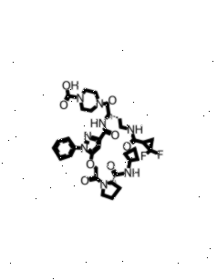 O=C(N[C@@H](CCNC(=O)C1CC1(F)F)C(=O)N1CCN(C(=O)O)CC1)c1cc(OCC(=O)N2CCC[C@H]2C(=O)NC2CCC2)n(-c2ccccc2)n1